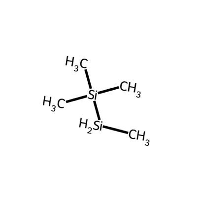 C[SiH2][Si](C)(C)C